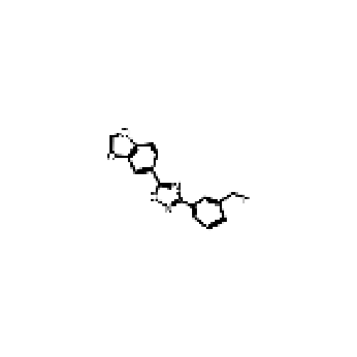 FCc1cccc(-c2noc(-c3ccc4c(c3)OCO4)n2)c1